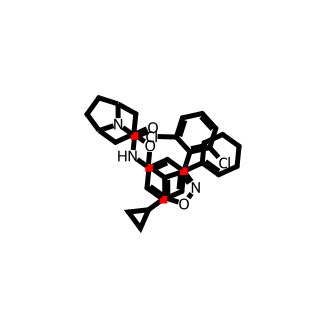 O=C(Nc1cccc(C2=CCCCC2)c1)N1C2CCC1CC(OCc1c(-c3c(Cl)cccc3Cl)noc1C1CC1)C2